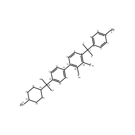 CC(C)c1ccc(C(C)(C)c2ccc(-c3ccc(C(C)(C)C4CCC(C(C)C)CC4)cc3)c(F)c2F)cc1